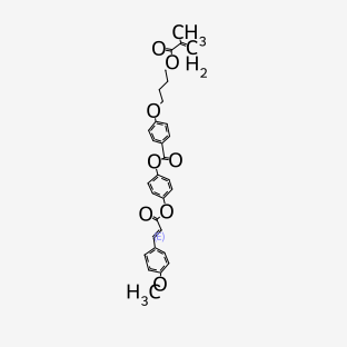 C=C(C)C(=O)OCCCCOc1ccc(C(=O)Oc2ccc(OC(=O)/C=C/c3ccc(OC)cc3)cc2)cc1